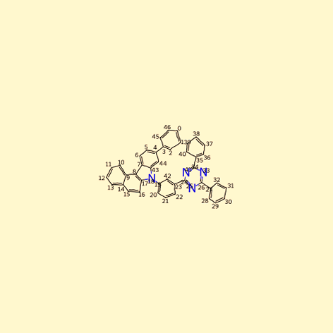 c1ccc(-c2ccc3c4c5ccccc5ccc4n(-c4cccc(-c5nc(-c6ccccc6)nc(-c6ccccc6)n5)c4)c3c2)cc1